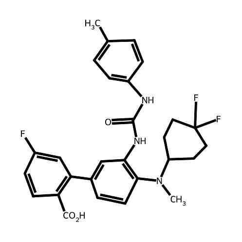 Cc1ccc(NC(=O)Nc2cc(-c3cc(F)ccc3C(=O)O)ccc2N(C)C2CCC(F)(F)CC2)cc1